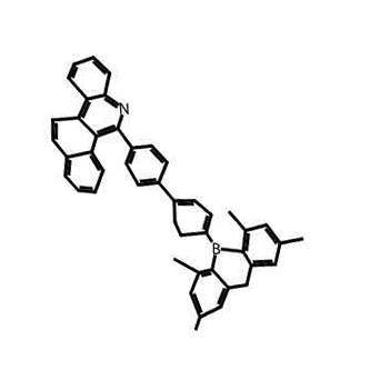 Cc1cc(C)c2c(c1)Cc1cc(C)cc(C)c1B2C1=CC=C(c2ccc(-c3nc4ccccc4c4ccc5ccccc5c34)cc2)CC1